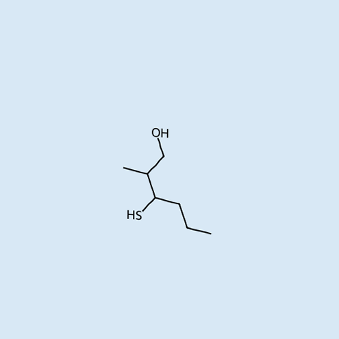 CCCC(S)C(C)CO